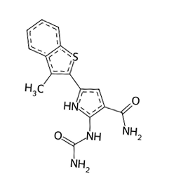 Cc1c(-c2cc(C(N)=O)c(NC(N)=O)[nH]2)sc2ccccc12